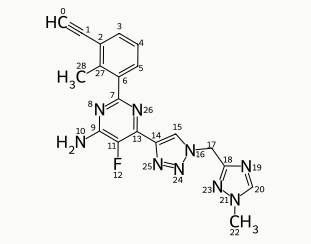 C#Cc1cccc(-c2nc(N)c(F)c(-c3cn(Cc4ncn(C)n4)nn3)n2)c1C